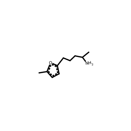 Cc1ccc(CCCC(C)N)o1